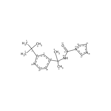 CC(C)(C)c1cc(C(C)(C)NC(=O)n2ccnc2)ccn1